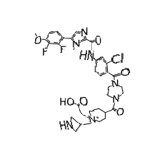 COc1ccc(-c2cnc(C(=O)Nc3ccc(C(=O)N4CCN(C(=O)C5CC[N+](CC(=O)O)(CC6CNC6)CC5)CC4)c(Cl)c3)n2C)c(F)c1F